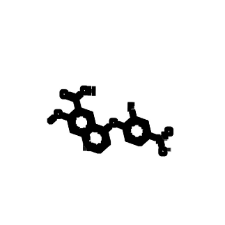 COc1cc2nccc(Oc3ccc([N+](=O)[O-])cc3F)c2cc1C(=O)O